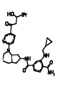 CC(C)C(O)CC(=O)c1ccc(N2CCCC3CC(NC(=O)c4ccc(C(N)=O)c(NCC5CC5)c4)CC32)nc1